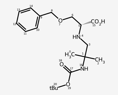 CC(C)(CN[C@H](COCc1ccccc1)C(=O)O)NC(=O)OC(C)(C)C